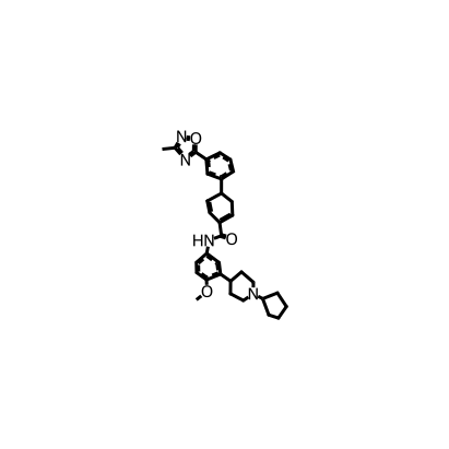 COc1ccc(NC(=O)C2=CCC(c3cccc(-c4nc(C)no4)c3)C=C2)cc1C1CCN(C2CCCC2)CC1